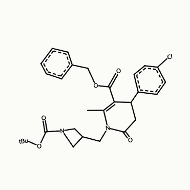 CC1=C(C(=O)OCc2ccccc2)C(c2ccc(Cl)cc2)CC(=O)N1CC1CN(C(=O)OC(C)(C)C)C1